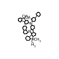 CC1(C)c2ccccc2-c2ccc(N(c3ccc(-c4ccccc4)cc3)c3ccc4c5ccc6c(c5n(-c5cccc7ccccc57)c4c3)-c3ccccc3C6(C)C)cc21